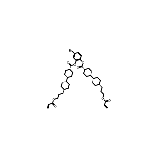 C=CC(=O)OCCC[C@H]1CC[C@H]([C@H]2CC[C@H](C(=O)Oc3ccc(Br)cc3OC(=O)[C@H]3CC[C@H]([C@H]4CC[C@H](CCCOC(=O)C=C)CC4)CC3)CC2)CC1